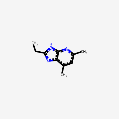 CCc1nc2c(C)[c]c(C)nc2[nH]1